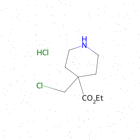 CCOC(=O)C1(CCl)CCNCC1.Cl